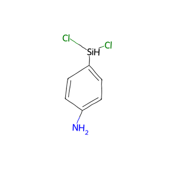 Nc1ccc([SiH](Cl)Cl)cc1